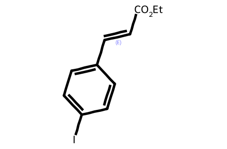 CCOC(=O)/C=C/c1ccc(I)cc1